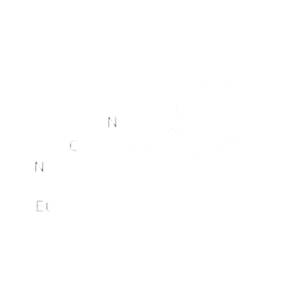 CCN=C=NCc1ccccc1